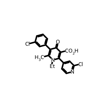 CCn1c(C)c(-c2cccc(Cl)c2)c(=O)c(C(=O)O)c1-c1ccnc(Cl)c1